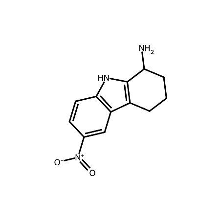 NC1CCCc2c1[nH]c1ccc([N+](=O)[O-])cc21